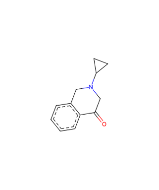 O=C1CN(C2CC2)Cc2ccccc21